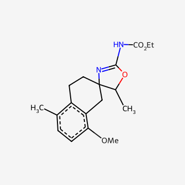 CCOC(=O)NC1=NC2(CCc3c(C)ccc(OC)c3C2)C(C)O1